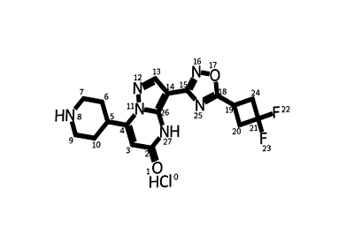 Cl.O=c1cc(C2CCNCC2)n2ncc(-c3noc(C4CC(F)(F)C4)n3)c2[nH]1